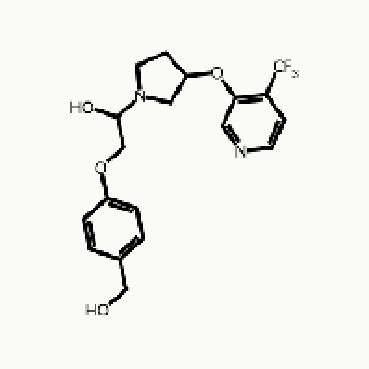 OCc1ccc(OCC(O)N2CCC(Oc3cnccc3C(F)(F)F)C2)cc1